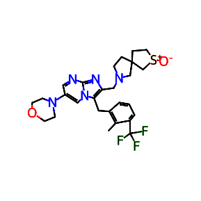 Cc1c(Cc2c(CN3CCC4(CC[S+]([O-])C4)C3)nc3ncc(N4CCOCC4)cn23)cccc1C(F)(F)F